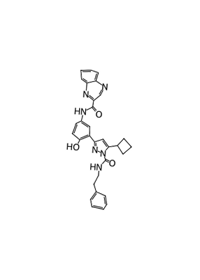 O=C(Nc1ccc(O)c(-c2cc(C3CCC3)n(C(=O)NCCc3ccccc3)n2)c1)c1cnc2ccccc2n1